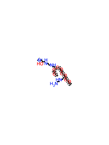 C[N+](C)(C)CC(O)CNCCNCC[Si](C)(O[Si](C)(C)O[Si](C)(C)C)O[Si](C)(C)O[Si](C)(C)O[Si](C)(C)O[Si](C)(CCNCCN)O[Si](C)(C)O[Si](C)(C)C